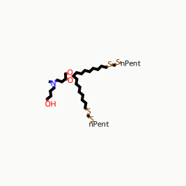 CCCCCSCSCCCCCCCCC1(CCCCCCCCSCSCCCCC)OCC(CCN(C)CCCCO)O1